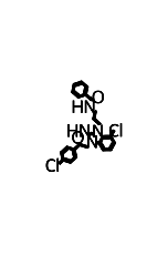 N=c1n(CC(=O)c2ccc(Cl)cc2)c2cccc(Cl)c2n1CCCNC(=O)c1ccccc1